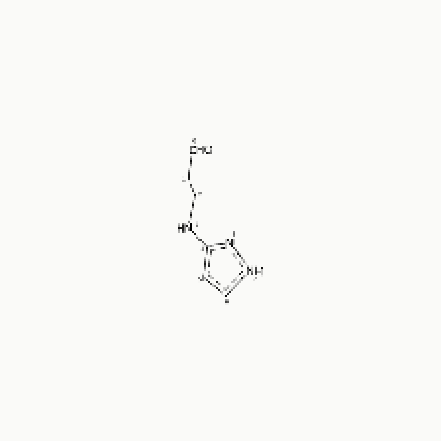 O=CCCNc1[c]c[nH]n1